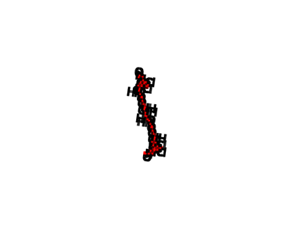 CC(=O)N1CCN([C@H]2Cc3c(Cl)cc(Cl)cc3[C@@H]2Oc2ccc(S(=O)(=O)NCCOCCOCCNC(=O)NCCCCNC(=O)NCCOCCOCCNS(=O)(=O)c3ccc(O[C@H]4c5cc(Cl)cc(Cl)c5C[C@@H]4N4CCN(C(C)=O)CC4)c(C)c3)cc2C)CC1